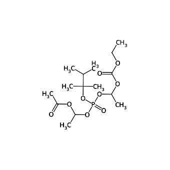 CCOC(=O)OC(C)OP(=O)(OC(C)OC(C)=O)OC(C)(C)C(C)C